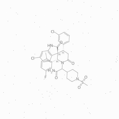 Cc1ccc(F)cc1[C@H]1N(C(C(N)=O)C2CCN(S(C)(=O)=O)CC2)C(=O)C[C@@H](c2cccc(Cl)c2)[C@]12C(=O)Nc1cc(Cl)ccc12